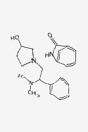 CC(=O)N(C)C(CN1CCC(O)C1)c1ccccc1.O=C1Nc2cccc1c2